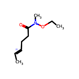 C/C=C/CCC(=O)N(C)OCC